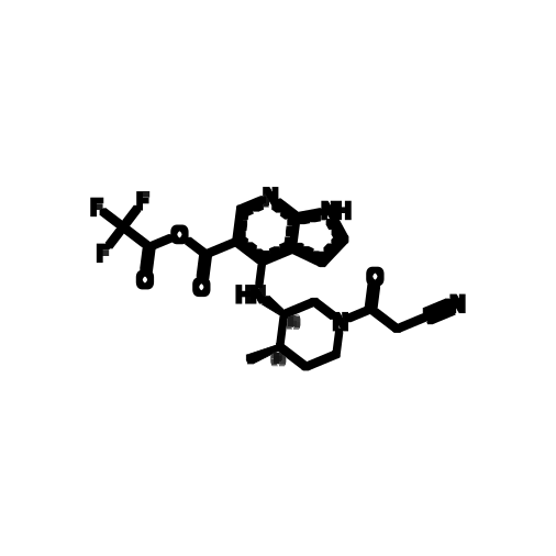 C[C@@H]1CCN(C(=O)CC#N)C[C@@H]1Nc1c(C(=O)OC(=O)C(F)(F)F)cnc2[nH]ccc12